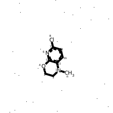 CN1CCOc2nc(Cl)[c]cc21